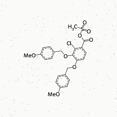 COc1ccc(COc2ccc(C(=O)OS(C)(=O)=O)c(Cl)c2OCc2ccc(OC)cc2)cc1